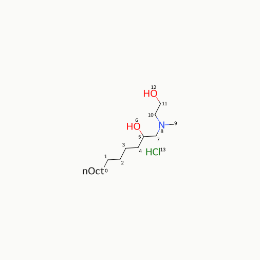 CCCCCCCCCCCCC(O)CN(C)CCO.Cl